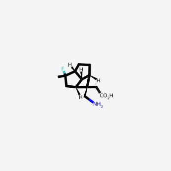 CC1(F)C[C@@H]2[C@@H]3[C@H]1CC[C@@H]3[C@]2(CN)CC(=O)O